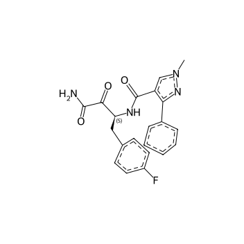 Cn1cc(C(=O)N[C@@H](Cc2ccc(F)cc2)C(=O)C(N)=O)c(-c2ccccc2)n1